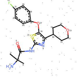 CC(C)(N)C(=O)Nc1nc(C2CCOCC2)c(Oc2ccc(F)cc2)s1